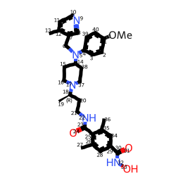 COc1ccc(N(Cc2cnccc2C)C2CCN([C@H](C)CCNC(=O)c3c(C)cc(C(=O)NO)cc3C)CC2)cc1